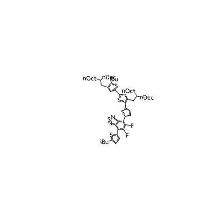 CCCCCCCCCCC(CCCCCCCC)Cc1cc(-c2cc(CC(CCCCCCCC)CCCCCCCCCC)c(C(C)CC)s2)sc1-c1ccc(-c2c(F)c(F)c(-c3ccc(C(C)CC)s3)c3nsnc23)s1